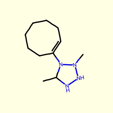 CC1NNN(C)N1/C1=C/CCCCCC1